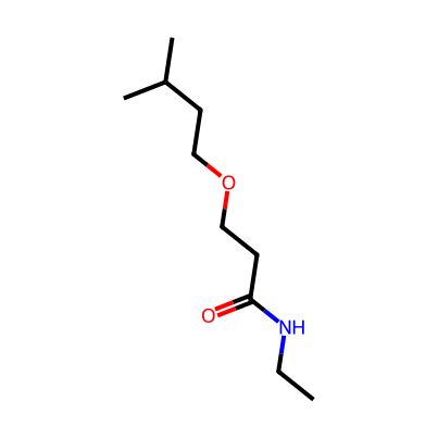 CCNC(=O)CCOCCC(C)C